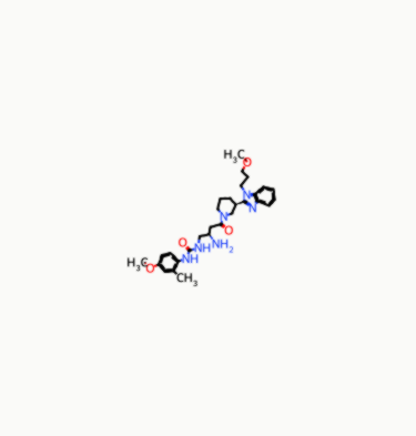 COCCCn1c([C@@H]2CCCN(C(=O)C[C@@H](N)CNC(=O)Nc3ccc(OC)cc3C)C2)nc2ccccc21